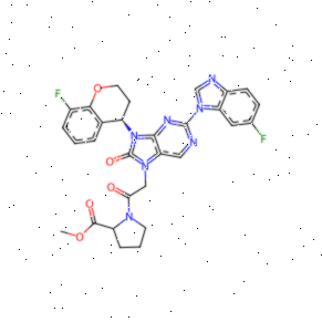 COC(=O)C1CCCN1C(=O)Cn1c(=O)n([C@@H]2CCOc3c(F)cccc32)c2nc(-n3cnc4ccc(F)cc43)ncc21